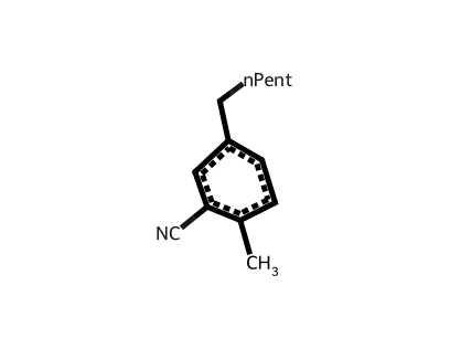 CCCCCCc1ccc(C)c(C#N)c1